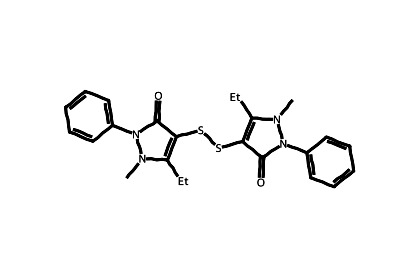 CCc1c(SSc2c(CC)n(C)n(-c3ccccc3)c2=O)c(=O)n(-c2ccccc2)n1C